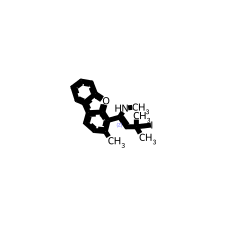 CN/C(=C\C(C)(C)I)c1c(C)ccc2c1oc1ccccc12